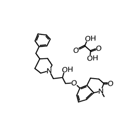 CN1C(=O)CCc2c(OCC(O)CN3CCC(Cc4ccccc4)CC3)cccc21.O=C(O)C(=O)O